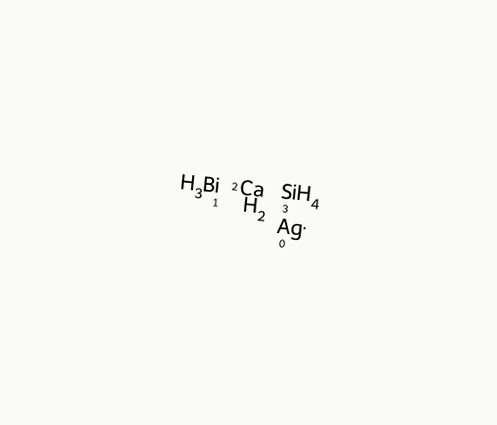 [Ag].[BiH3].[CaH2].[SiH4]